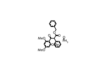 COc1cc(OC)c(C(=O)C(C(=O)OCc2ccccc2)c2ccccc2)c(OC)c1.O=[PH3]